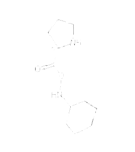 O=C(ONC1CCCCC1)[C@@H]1CCCN1